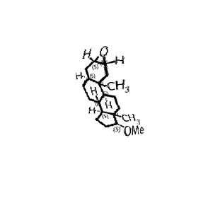 CO[C@H]1CC[C@H]2[C@@H]3CC[C@H]4C[C@@H]5O[C@@H]5C[C@]4(C)[C@H]3CC[C@]12C